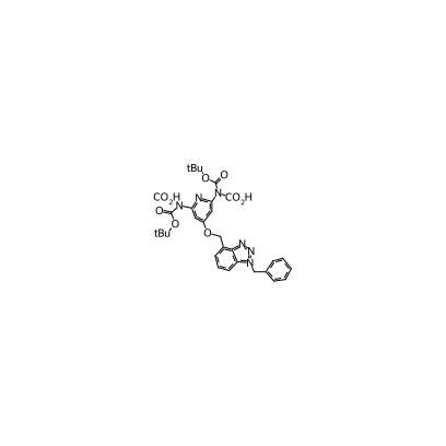 CC(C)(C)OC(=O)N(C(=O)O)c1cc(OCc2cccc3c2nnn3Cc2ccccc2)cc(N(C(=O)O)C(=O)OC(C)(C)C)n1